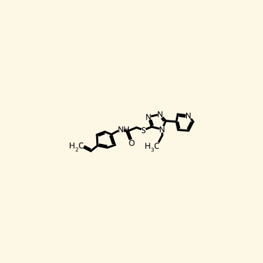 C=Cc1ccc(NC(=O)CSc2nnc(-c3cccnc3)n2CC)cc1